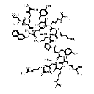 N=C(N)NCCC[C@H](NC(=O)[C@H](CS)NC(=O)[C@H](CCCNC(N)=O)NC(=O)[C@H](CCCNC(=N)N)NC(=O)[C@H](Cc1ccc(O)cc1)NC(=O)[C@@H]1CCCN1C(=O)[C@@H](CCC(=O)O)NC(=O)[C@H](CCCCN)NC(=O)[C@H](CCCNC(N)=O)NC(=O)[C@H](Cc1ccc(O)cc1)NC(=O)[C@H](CS)NC(=O)[C@H](Cc1ccc2ccccc2c1)NC(=O)[C@H](CCCNC(=N)N)NC(=O)[C@H](N)CCC(=O)O)C(N)=O